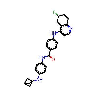 O=C(Nc1ccc(NC23CC(C2)C3)cc1)c1ccc(Nc2ccnc3c2CC(F)CC3)cc1